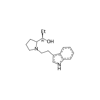 CC[C@@H](O)C1CCCN1CCc1c[nH]c2ccccc12